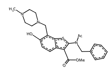 COC(=O)c1c(N(Cc2ccccc2)C(C)=O)sc2c(CN3CCN(C)CC3)c(O)ccc12